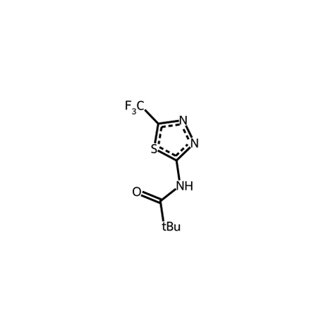 CC(C)(C)C(=O)Nc1nnc(C(F)(F)F)s1